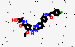 CCOc1cc(C(=O)NC(C)(C)CO)ccc1Nc1nc2ccc(-c3ccc(NC(=O)Cc4ccc(F)cc4)cc3)cn2n1